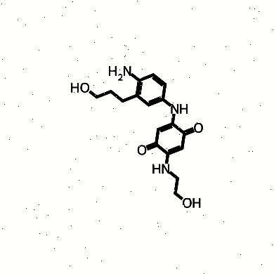 Nc1ccc(NC2=CC(=O)C(NCCO)=CC2=O)cc1CCCO